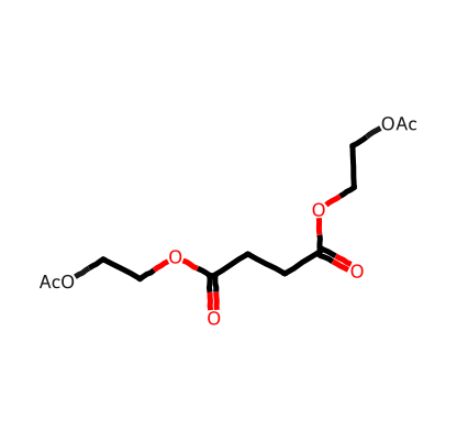 CC(=O)OCCOC(=O)CCC(=O)OCCOC(C)=O